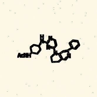 CC(=O)N[C@H]1CC[C@H](Nc2nccc(N3CCCc4cnc(-c5ccccc5)cc43)n2)CC1